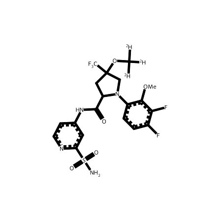 [2H]C([2H])([2H])OC1(C(F)(F)F)CC(C(=O)Nc2ccnc(S(N)(=O)=O)c2)N(c2ccc(F)c(F)c2OC)C1